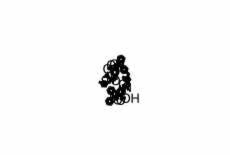 Cc1ccc(CN(C(=O)N2CCN(C(=O)N(c3ccccc3)c3ccc(Cc4cc(CN(C)C(=O)N5CCN(C(=O)N(c6ccccc6)c6ccccc6)[C@H](C(=O)O)C5)sc4C)cc3)[C@H](C(=O)O)C2)C2CC2)s1